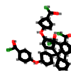 O=C(Cl)c1ccc(Oc2ccc(C3(c4ccc(Oc5ccc(C(=O)Cl)cc5)cc4)c4ccccc4-c4ccc(C(=O)Cl)c(C(=O)Cl)c43)cc2)cc1